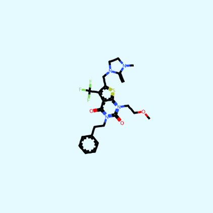 C=C1N(C)CCN1Cc1sc2c(c1C(F)(F)F)c(=O)n(CCc1ccccc1)c(=O)n2CCOC